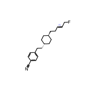 N#Cc1ccc(CC[C@H]2CC[C@H](CC/C=C/CF)CC2)cc1